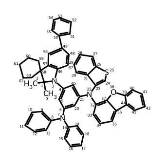 CC1(C)N(c2cc(N(c3ccccc3)c3ccccc3)cc(N(c3csc4ccccc34)c3cccc4c3oc3ccccc34)c2)c2ccc(-c3ccccc3)cc2C12CCCCC2